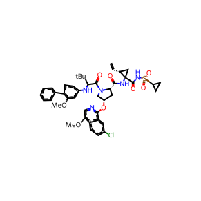 C=C[C@@H]1C[C@]1(NC(=O)[C@@H]1C[C@@H](Oc2ncc(OC)c3ccc(Cl)cc23)CN1C(=O)C(Nc1ccc(-c2ccccc2)c(OC)c1)C(C)(C)C)C(=O)NS(=O)(=O)C1CC1